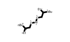 CCCCC(CC)C[O][Al][O]CC(CC)CCCC